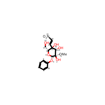 CO[C@]1(O)[C@H](Oc2ccccc2)O[C@H](CO)[C@](O)(C=C[N+](=O)[O-])[C@@H]1O